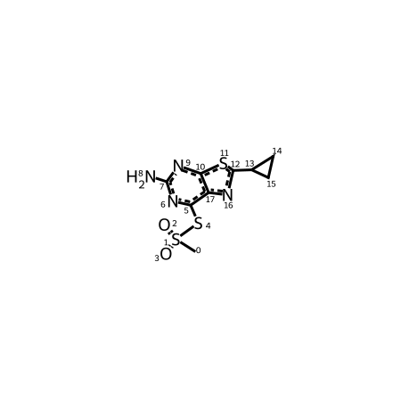 CS(=O)(=O)Sc1nc(N)nc2sc(C3CC3)nc12